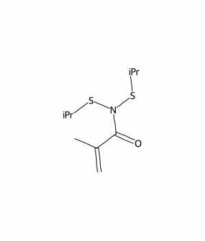 C=C(C)C(=O)N(SC(C)C)SC(C)C